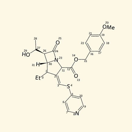 CCC1/C(=C/Sc2ccncc2)C(C(=O)OCc2ccc(OC)cc2)N2C(=O)[C@H](C(C)O)[C@@H]12